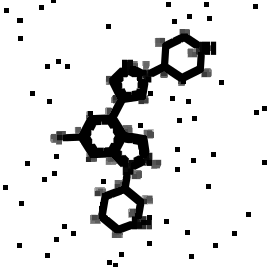 Fc1cc(-c2cnn(C3CCNCC3)c2)c2cnn(C3CCCNC3)c2c1